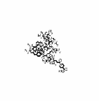 CC[C@H](C)[C@@H]([C@@H](CC(=O)N1CCC[C@H]1[C@H](OC)[C@@H](C)C(=O)N[C@H](CN)Cc1ccc(NC(=O)[C@H](CCCNC(N)=O)NC(=O)[C@@H](NC(=O)CCC(=O)N2CCC(C(=O)O)CC2)C(C)C)cc1)OC)N(C)C(=O)[C@@H](NC(=O)[C@H](C(C)C)N(C)C)C(C)C